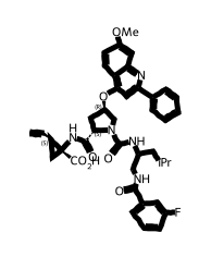 C=C[C@@H]1C[C@]1(NC(=O)[C@@H]1C[C@@H](Oc2cc(-c3ccccc3)nc3cc(OC)ccc23)CN1C(=O)NC(CNC(=O)c1cccc(F)c1)CC(C)C)C(=O)O